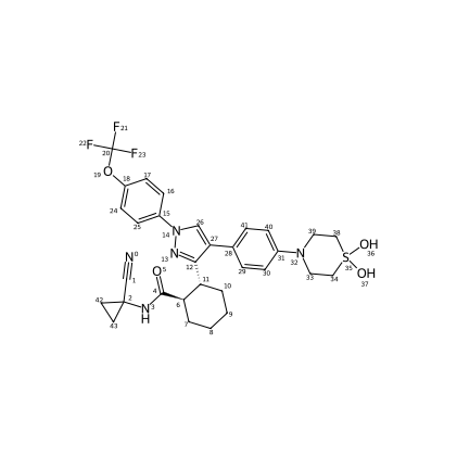 N#CC1(NC(=O)[C@@H]2CCCC[C@H]2c2nn(-c3ccc(OC(F)(F)F)cc3)cc2-c2ccc(N3CCS(O)(O)CC3)cc2)CC1